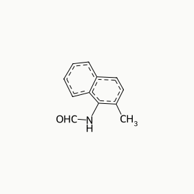 Cc1ccc2ccccc2c1NC=O